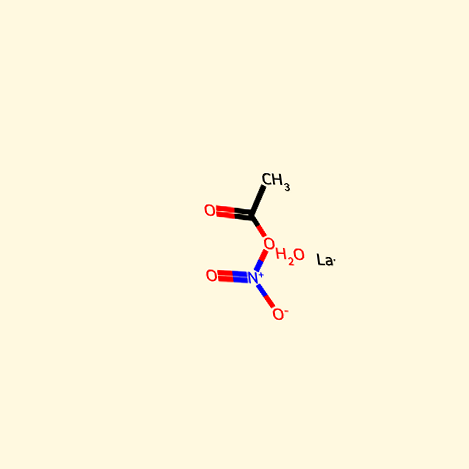 CC(=O)O[N+](=O)[O-].O.[La]